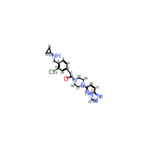 O=C(Cc1ccc(CNC2CC2)c(Cl)c1)N1CCN(c2ccc3nncn3n2)CC1